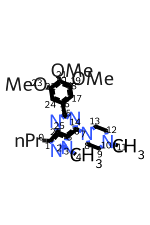 CCCc1nn(C)c2c(N3CCN(C)CC3)nc(-c3cc(OC)c(OC)c(OC)c3)nc12